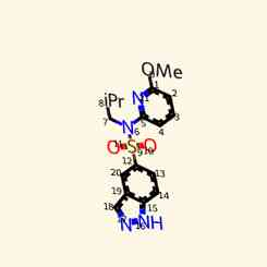 COc1cccc(N(CC(C)C)S(=O)(=O)c2ccc3[nH]ncc3c2)n1